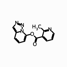 Cc1ncccc1C(=O)Oc1cccc2cnnn12